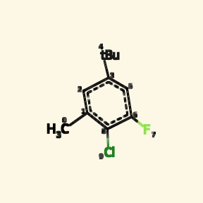 Cc1cc(C(C)(C)C)cc(F)c1Cl